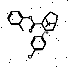 Cc1ccccc1OC(=O)C1C2CCC(C[C@@H]1c1ccc(Cl)cc1)N2C